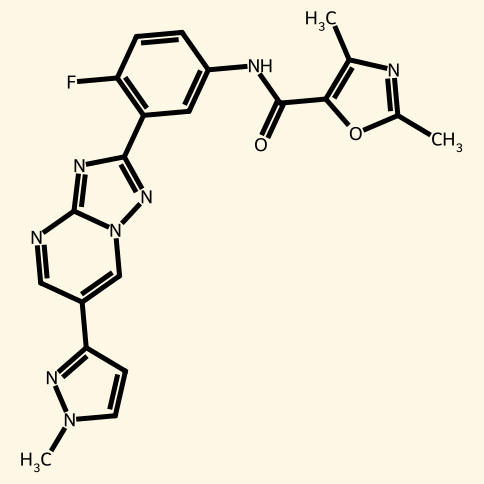 Cc1nc(C)c(C(=O)Nc2ccc(F)c(-c3nc4ncc(-c5ccn(C)n5)cn4n3)c2)o1